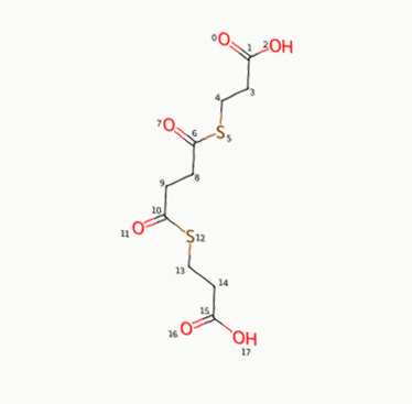 O=C(O)CCSC(=O)CCC(=O)SCCC(=O)O